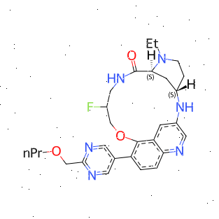 CCCOCc1ncc(-c2ccc3ncc4cc3c2OCC(F)CNC(=O)[C@@H]2C[C@H](CCN2CC)N4)cn1